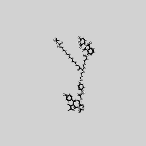 CC1=C(C)C2C(c3ccc(Cl)cc3)=N[C@@H](CC(=O)Nc3ccc(OCCOCCN(CCOCCNc4cccc5c4C(=O)N(C4CCC(=O)NC4=O)C5=O)C(=O)CCCCCCCCCCCNC(=O)OC(C)(C)C)cc3)c3nnc(C)n3C2S1